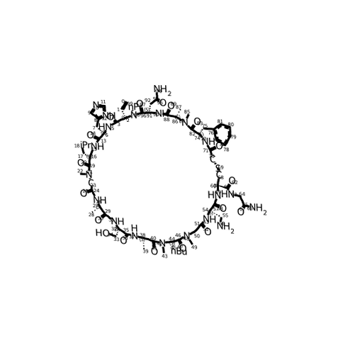 C=C[C@H]1C(=O)N[C@@H](Cc2cnc[nH]2)C(=O)N[C@@H](CC(C)C)C(=O)N(C)CC(=O)N[C@@H](C)C(=O)N[C@@H](CO)C(=O)N[C@@H](C)C(=O)N(C)[C@@H](CCCC)C(=O)N(C)CC(=O)N[C@@H](CN)C(=O)N[C@H](C(=O)NCC(N)=O)CSCC(=O)N[C@@H](Cc2ccccc2)C(=O)N(C)[C@@H](C)C(=O)N[C@@H](CC(N)=O)C(=O)N1CCC